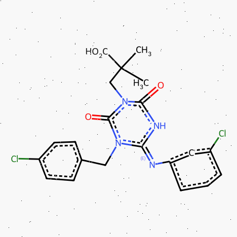 CC(C)(Cn1c(=O)[nH]/c(=N\c2cccc(Cl)c2)n(Cc2ccc(Cl)cc2)c1=O)C(=O)O